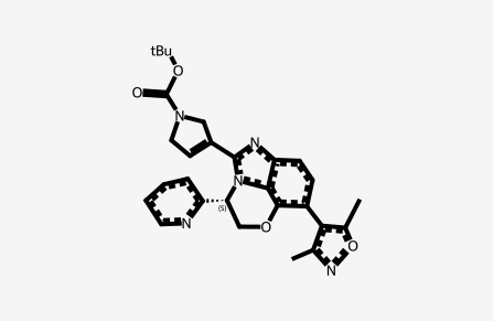 Cc1noc(C)c1-c1ccc2nc(C3=CCN(C(=O)OC(C)(C)C)C3)n3c2c1OC[C@@H]3c1ccccn1